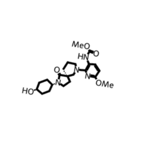 COC(=O)Nc1ccc(OC)nc1N1CCC[C@@]2(CCN([C@H]3CC[C@H](O)CC3)C2=O)C1